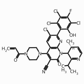 C=CC(=O)N1CCN(c2c(C#N)c(=O)n(C3C(C(C)C)=NC=C[C@H]3C)c3nc(-c4c(O)c(Cl)c(F)c(Cl)c4Cl)c(Cl)cc23)CC1